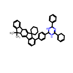 CC1(C)c2ccccc2C2C=C3C(=CC21)c1cccc(-c2ccc(C4NC(C5=CC=CCC5)=NC(c5ccccc5)N4)cc2)c1C31CCCCC1